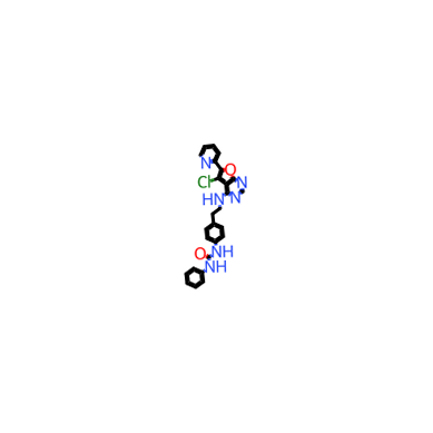 O=C(Nc1ccccc1)Nc1ccc(CCNc2ncnc3oc(-c4ccccn4)c(Cl)c23)cc1